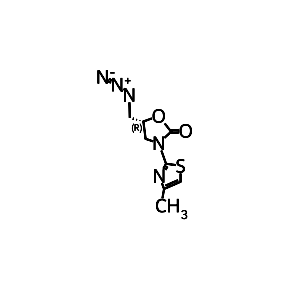 Cc1csc(N2C[C@H](CN=[N+]=[N-])OC2=O)n1